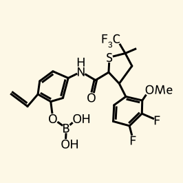 C=Cc1ccc(NC(=O)C2SC(C)(C(F)(F)F)CC2c2ccc(F)c(F)c2OC)cc1OB(O)O